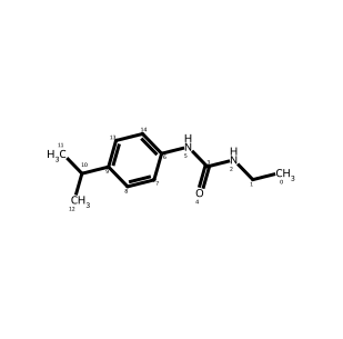 CCNC(=O)Nc1ccc(C(C)C)cc1